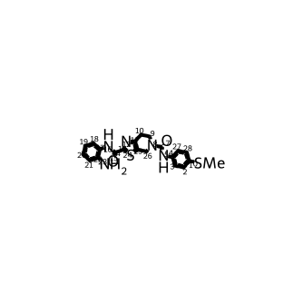 CSc1ccc(NC(=O)N2CCc3nc(C(=O)Nc4ccccc4N)sc3C2)cc1